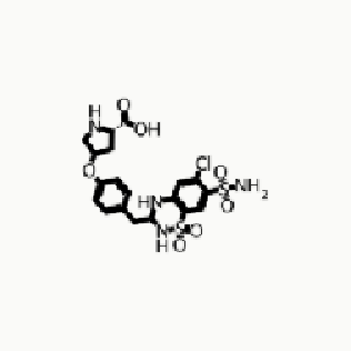 NS(=O)(=O)c1cc2c(cc1Cl)NC(Cc1ccc(OC3CN[C@H](C(=O)O)C3)cc1)NS2(=O)=O